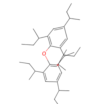 CCC(C)c1cc(C(C)CC)c(Oc2c(C(C)CC)cc(C(C)CC)cc2C(C)CC)c(C(C)CC)c1